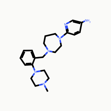 CN1CCN(c2ccccc2CN2CCCN(c3ccc(N)cn3)CC2)CC1